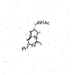 CC(=O)NC[C@H]1CC2=C[C@H](C(C)C)N=C(C)N2C1